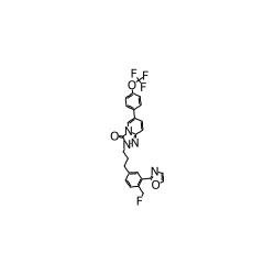 O=c1n(CCCc2ccc(CF)c(-c3ncco3)c2)nc2ccc(-c3ccc(OC(F)(F)F)cc3)cn12